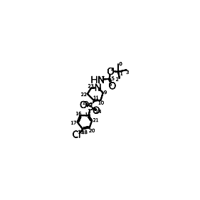 CC(C)(C)OC(=O)NN1CCC(S(=O)(=O)c2ccc(Cl)cc2)CC1